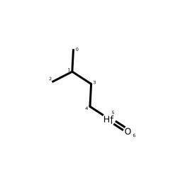 CC(C)C[CH2][Hf]=[O]